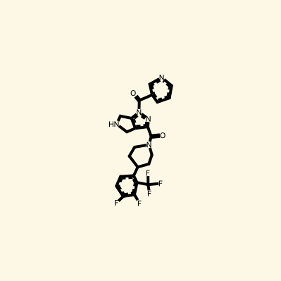 O=C(c1nn(C(=O)c2cccnc2)c2c1CNC2)N1CCC(c2ccc(F)c(F)c2C(F)(F)F)CC1